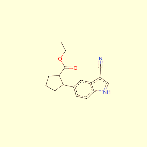 CCOC(=O)C1CCCC1c1ccc2[nH]cc(C#N)c2c1